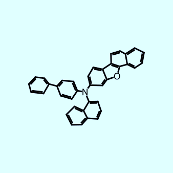 c1ccc(-c2ccc(N(c3ccc4c(c3)oc3c5ccccc5ccc43)c3cccc4ccccc34)cc2)cc1